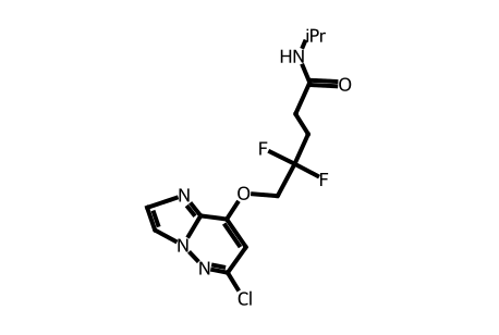 CC(C)NC(=O)CCC(F)(F)COc1cc(Cl)nn2ccnc12